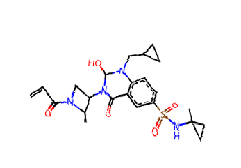 C=CC(=O)N1CC(N2C(=O)c3cc(S(=O)(=O)NC4(C)CC4)ccc3N(CC3CC3)C2O)C1C